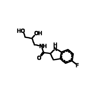 O=C(NCC(O)CO)C1Cc2cc(F)ccc2N1